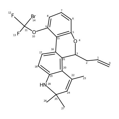 C=CCC1Oc2cccc(OC(F)(F)Br)c2-c2ccc3c(c21)C(C)=CC(C)(C)N3